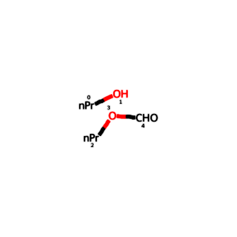 CCCO.CCCOC=O